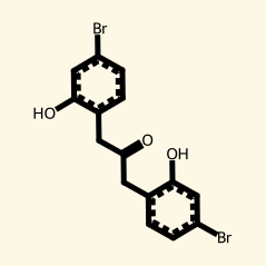 O=C(Cc1ccc(Br)cc1O)Cc1ccc(Br)cc1O